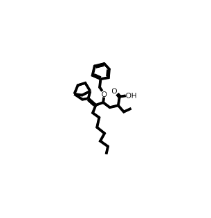 CCCCCCCC(=C1CC2CCC1C2)C(CC(CC)C(=O)O)OCc1ccccc1